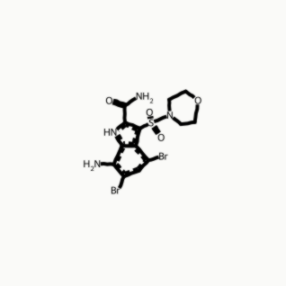 NC(=O)c1[nH]c2c(N)c(Br)cc(Br)c2c1S(=O)(=O)N1CCOCC1